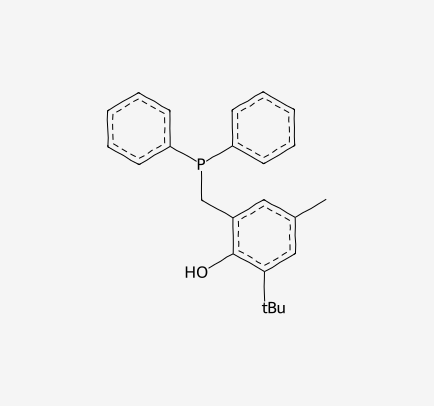 Cc1cc(CP(c2ccccc2)c2ccccc2)c(O)c(C(C)(C)C)c1